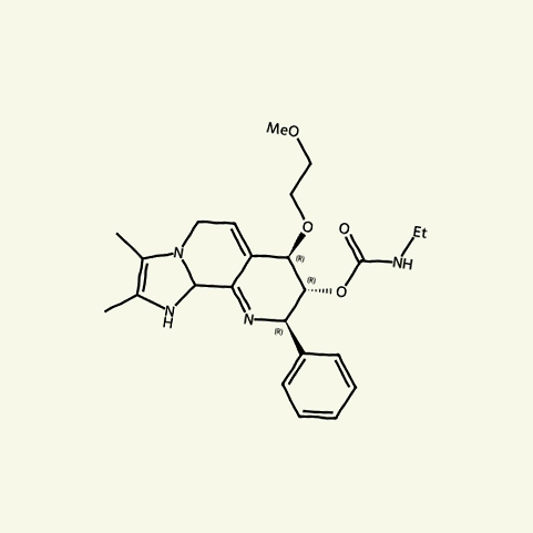 CCNC(=O)O[C@H]1[C@H](OCCOC)C2=CCN3C(C)=C(C)NC3C2=N[C@@H]1c1ccccc1